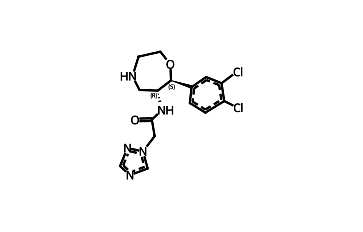 O=C(Cn1cncn1)N[C@@H]1CNCCO[C@H]1c1ccc(Cl)c(Cl)c1